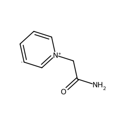 NC(=O)C[n+]1c[c]ccc1